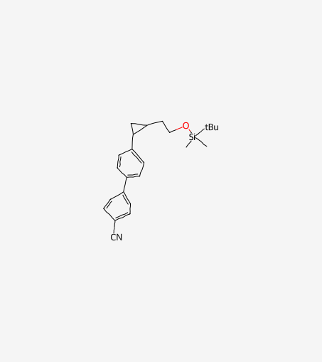 CC(C)(C)[Si](C)(C)OCCC1CC1c1ccc(-c2ccc(C#N)cc2)cc1